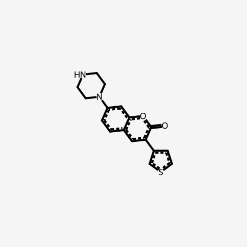 O=c1oc2cc(N3CCNCC3)ccc2cc1-c1ccsc1